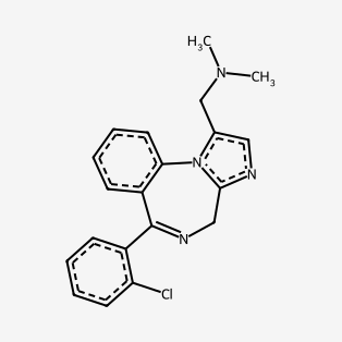 CN(C)Cc1cnc2n1-c1ccccc1C(c1ccccc1Cl)=NC2